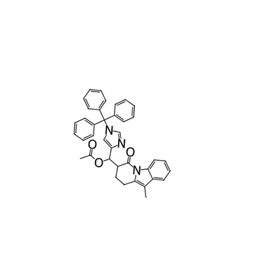 CC(=O)OC(c1cn(C(c2ccccc2)(c2ccccc2)c2ccccc2)cn1)C1CCc2c(C)c3ccccc3n2C1=O